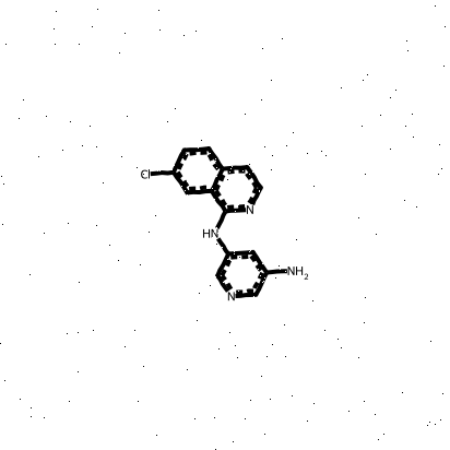 Nc1cncc(Nc2nccc3ccc(Cl)cc23)c1